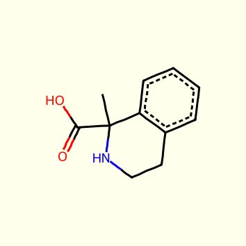 CC1(C(=O)O)NCCc2ccccc21